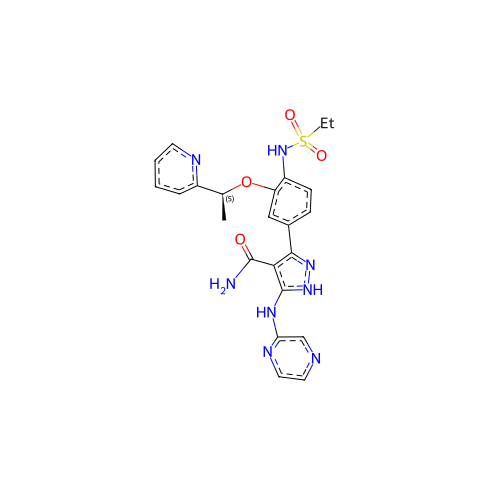 CCS(=O)(=O)Nc1ccc(-c2n[nH]c(Nc3cnccn3)c2C(N)=O)cc1O[C@@H](C)c1ccccn1